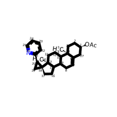 CC(=O)O[C@H]1CC[C@@]2(C)C(=CCC3C2CC[C@@]2(C)C3CC[C@]23C[C@H]3c2ccccn2)C1